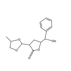 CC1COC(C2CC(C(O)c3ccccc3)OC2=O)O1